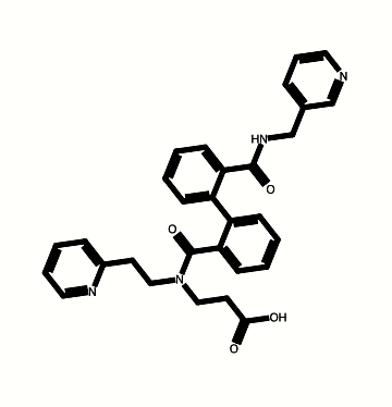 O=C(O)CCN(CCc1ccccn1)C(=O)c1ccccc1-c1ccccc1C(=O)NCc1cccnc1